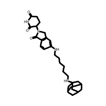 O=C1CCC(N2Cc3cc(NCCCCCCNC45CC6CC(CC(C6)C4)C5)ccc3C2=O)C(=O)N1